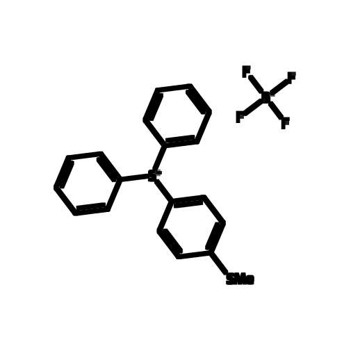 CSc1ccc([S+](c2ccccc2)c2ccccc2)cc1.F[B-](F)(F)F